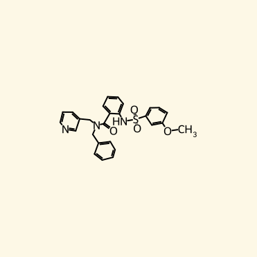 COc1cccc(S(=O)(=O)Nc2ccccc2C(=O)N(Cc2ccccc2)Cc2cccnc2)c1